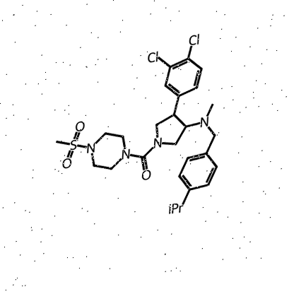 CC(C)c1ccc(CN(C)C2CN(C(=O)N3CCN(S(C)(=O)=O)CC3)CC2c2ccc(Cl)c(Cl)c2)cc1